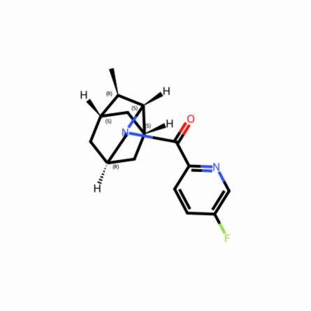 C[C@@H]1[C@H]2C[C@@H]3C[C@H](C2)[C@@H]1N(C(=O)c1ccc(F)cn1)C3